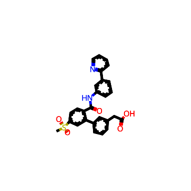 CS(=O)(=O)c1ccc(C(=O)Nc2cccc(-c3ccccn3)c2)c(-c2cccc(CC(=O)O)c2)c1